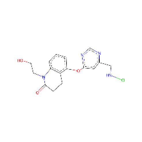 O=C1CCc2c(Oc3cc(CNCl)ncn3)cccc2N1CCO